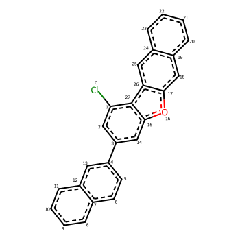 Clc1cc(-c2ccc3ccccc3c2)cc2oc3cc4ccccc4cc3c12